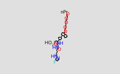 CCCOCCOCCOCCOCCOc1ccc(-c2ccc(C(CC(=O)O)NC(=O)CNC(=O)CCCCNc3cc(F)ccn3)cc2)c2ccccc12